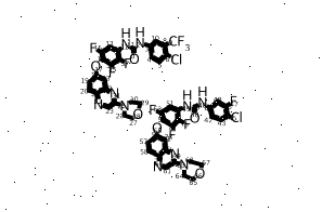 O=C(Nc1ccc(Cl)c(C(F)(F)F)c1)Nc1cc(F)c(Oc2ccc3ncc(N4CCOCC4)nc3c2)c(F)c1F.O=C(Nc1ccc(Cl)c(F)c1)Nc1cc(F)c(Oc2ccc3ncc(N4CCOCC4)nc3c2)c(F)c1F